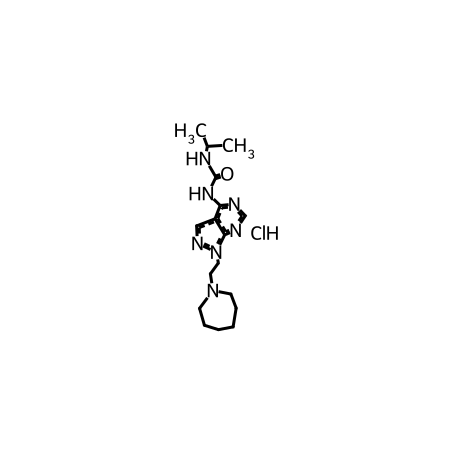 CC(C)NC(=O)Nc1ncnc2c1cnn2CCN1CCCCCC1.Cl